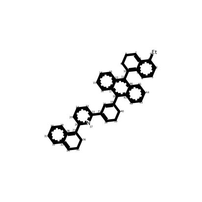 CCc1cccc2c1=CCCC=2c1c2ccccc2c(C2=CC(c3cccc(C4=c5ccccc5=CCC4)n3)=CCC2)c2ccccc12